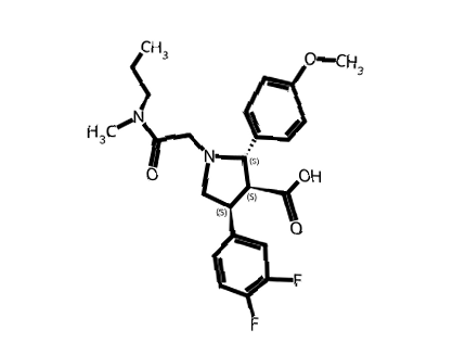 CCCN(C)C(=O)CN1C[C@H](c2ccc(F)c(F)c2)[C@H](C(=O)O)[C@H]1c1ccc(OC)cc1